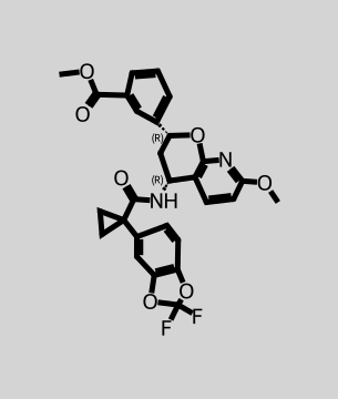 COC(=O)c1cccc([C@H]2C[C@@H](NC(=O)C3(c4ccc5c(c4)OC(F)(F)O5)CC3)c3ccc(OC)nc3O2)c1